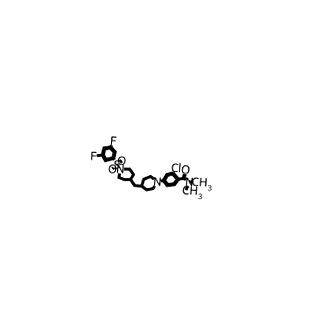 CN(C)C(=O)c1ccc(N2CCC(CC3CCN(S(=O)(=O)c4cc(F)cc(F)c4)CC3)CC2)cc1Cl